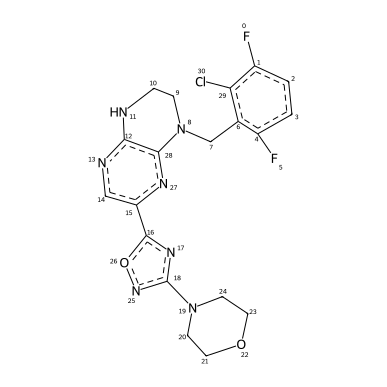 Fc1ccc(F)c(CN2CCNc3ncc(-c4nc(N5CCOCC5)no4)nc32)c1Cl